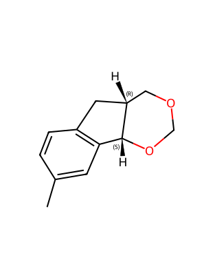 Cc1ccc2c(c1)[C@H]1OCOC[C@H]1C2